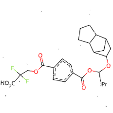 CC(C)C(OC(=O)c1ccc(C(=O)OCC(F)(F)C(=O)O)cc1)OC1CC2CC1C1CCCC21